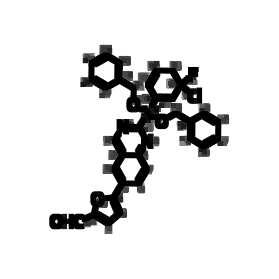 O=Cc1ccc(-c2ccc3nc([N+](OCc4ccccc4)(OCc4ccccc4)C4=CC(F)(Cl)CC=C4)ncc3c2)o1